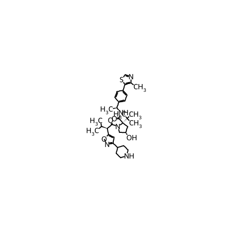 Cc1ncsc1-c1ccc([C@H](C)NC(=O)[C@@]2(C(C)(C)C)C[C@@H](O)CN2C(=O)[C@@H](c2cc(C3CCNCC3)no2)C(C)C)cc1